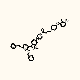 Cc1c(Br)cccc1O[C@H]1CC[C@H](CCCC(=O)N2CCN(c3ccc4c(-c5ccc(OCc6ccccc6)nc5OCc5ccccc5)nn(C)c4c3)CC2)CC1